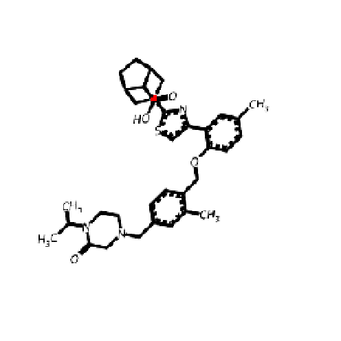 Cc1ccc(OCc2ccc(CN3CCN(C(C)C)C(=O)C3)cc2C)c(-c2csc(N3CC4CCC(C3)C4C(=O)O)n2)c1